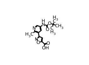 Cc1ncc(NC(=O)OC(C)(C)C)cc1-c1cc(C(=O)O)on1